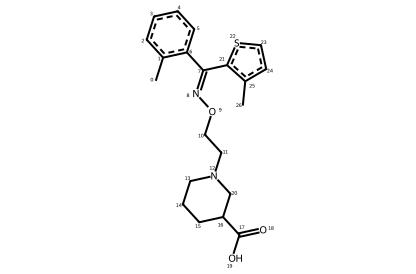 Cc1ccccc1C(=NOCCN1CCCC(C(=O)O)C1)c1sccc1C